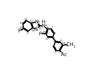 CC(=O)c1ccc(-c2ccc(Nc3nc4ccc(F)cc4s3)c(F)c2)cc1C